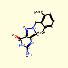 COc1cccc(OC)c1Cn1cc2nc(N)[nH]c(=O)c2n1